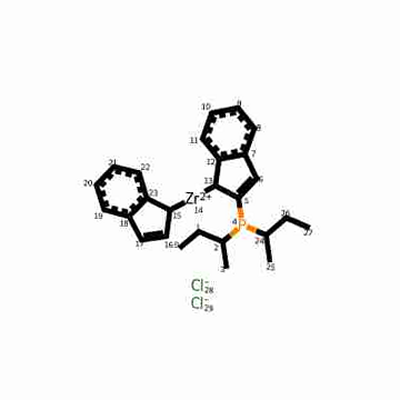 CCC(C)P(C1=Cc2ccccc2[CH]1[Zr+2][CH]1C=Cc2ccccc21)C(C)CC.[Cl-].[Cl-]